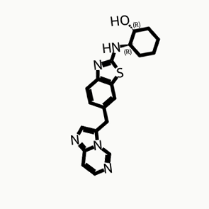 O[C@@H]1CCCC[C@H]1Nc1nc2ccc(Cc3cnc4ccncn34)cc2s1